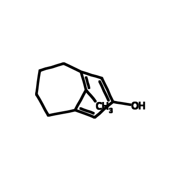 Cc1c2cc(O)cc1CCCC2